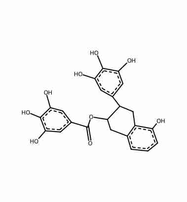 O=C(OC1Cc2cccc(O)c2CC1c1cc(O)c(O)c(O)c1)c1cc(O)c(O)c(O)c1